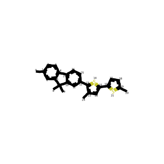 Cc1ccc2c(c1)C(C)(C)c1cc(-c3sc(-c4ccc(C)s4)cc3C)ccc1-2